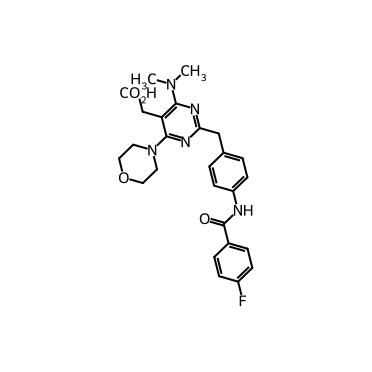 CN(C)c1nc(Cc2ccc(NC(=O)c3ccc(F)cc3)cc2)nc(N2CCOCC2)c1CC(=O)O